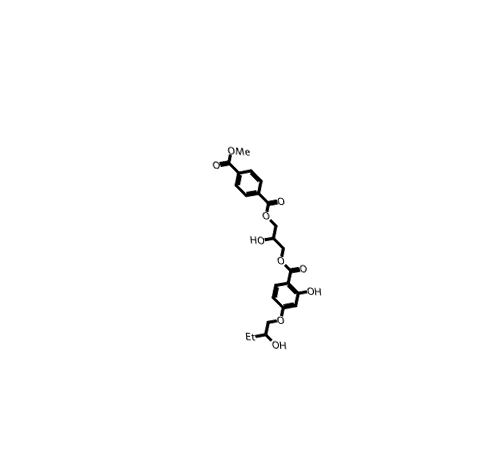 CCC(O)COc1ccc(C(=O)OCC(O)COC(=O)c2ccc(C(=O)OC)cc2)c(O)c1